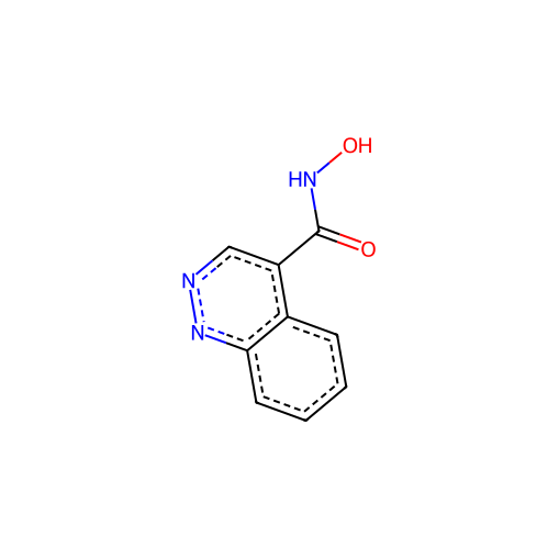 O=C(NO)c1cnnc2ccccc12